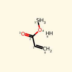 C=CC(=O)O[SiH3].[HH]